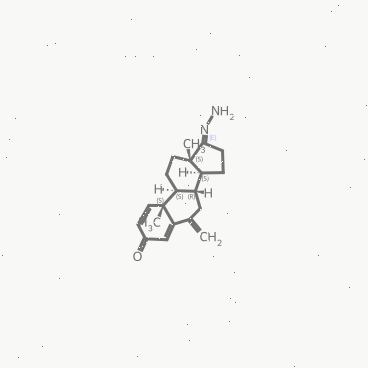 C=C1C[C@@H]2[C@H](CC[C@]3(C)/C(=N/N)CC[C@@H]23)[C@@]2(C)C=CC(=O)C=C12